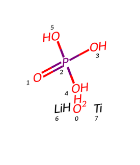 O.O=P(O)(O)O.[LiH].[Ti]